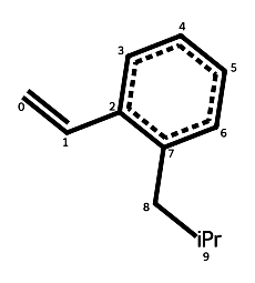 C=Cc1ccccc1CC(C)C